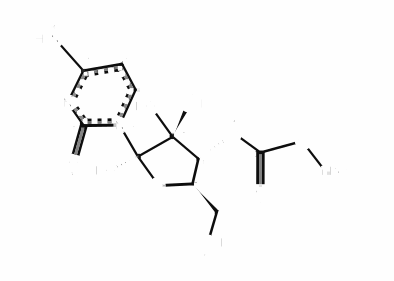 CCCCCOC(=O)O[C@@H]1[C@@H](CO)O[C@@](O)(n2ccc(N)nc2=O)[C@]1(C)O